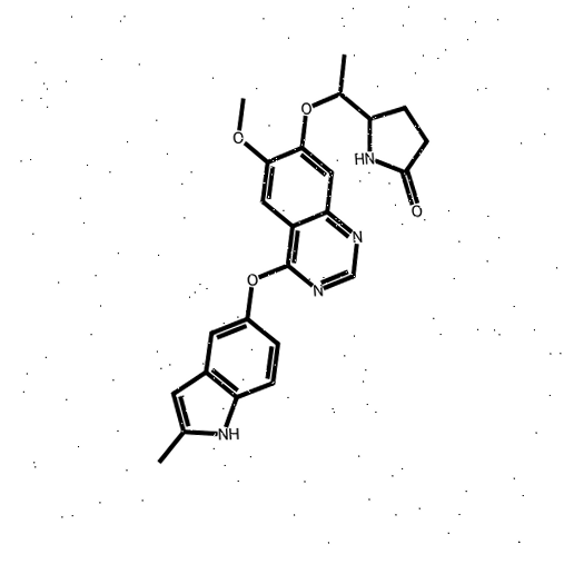 COc1cc2c(Oc3ccc4[nH]c(C)cc4c3)ncnc2cc1OC(C)C1CCC(=O)N1